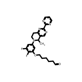 CC1c2cnc(-c3ncccn3)nc2CCN1c1cc(F)c(F)c(OCCCCCC=O)c1